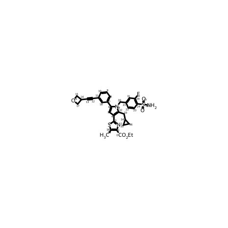 CCOC(=O)c1nc(-c2cc(-c3cccc(C#CC4COC4)c3)n(Cc3ccc(S(N)(=O)=O)c(F)c3)c2CC2CC2)sc1C